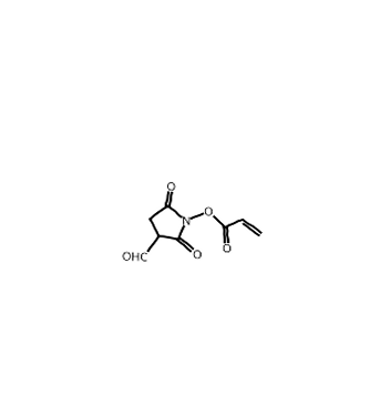 C=CC(=O)ON1C(=O)CC(C=O)C1=O